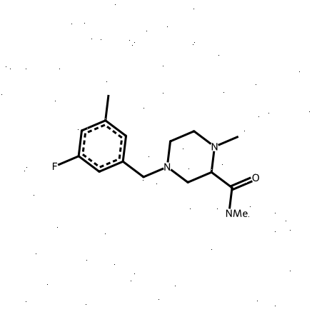 CNC(=O)C1CN(Cc2cc(C)cc(F)c2)CCN1C